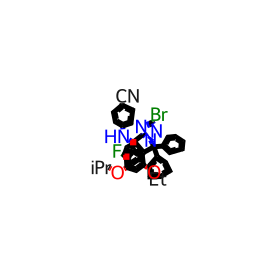 CCOc1cc(OC(C)C)c(F)c(C(Nc2ccc(C#N)cc2)c2nc(Br)nn2C(c2ccccc2)(c2ccccc2)c2ccccc2)c1